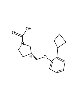 O=C(O)N1CC[C@H](COc2ccccc2C2CCC2)C1